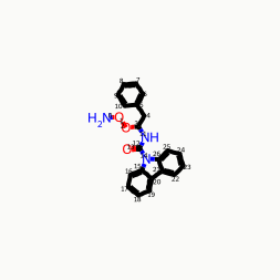 NOOC(Cc1ccccc1)NC(=O)n1c2ccccc2c2ccccc21